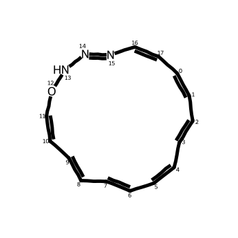 C1=C\C=C\C=C/C=C/C=C/C=C\ON\N=N\C=C/1